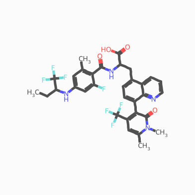 CCC(Nc1cc(C)c(C(=O)NC(Cc2ccc(-c3c(C(F)(F)F)cc(C)n(C)c3=O)c3ncccc23)C(=O)O)c(F)c1)C(F)(F)F